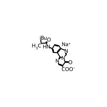 CCC(C)C(C)C(=O)Nc1ccc2ncn3c(=O)c(C(=O)[O-])cnc3c2c1.[Na+]